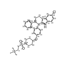 CS(C)(C)CCS(=O)(=O)N1CCC(Oc2ccc(C3c4[nH]c5ccc(Cl)cc5c4CCN3c3ncccn3)cc2)CC1